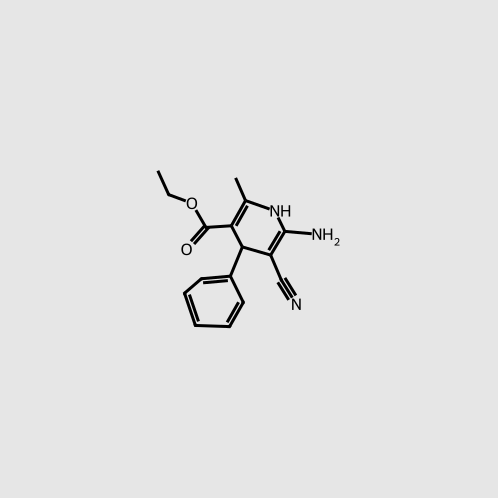 CCOC(=O)C1=C(C)NC(N)=C(C#N)C1c1ccccc1